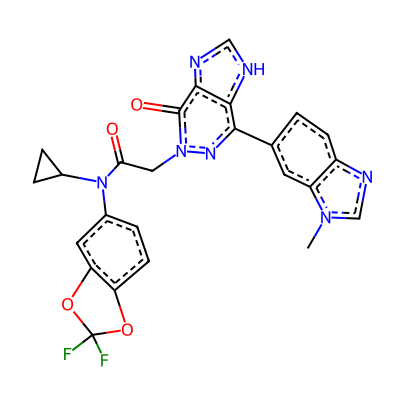 Cn1cnc2ccc(-c3nn(CC(=O)N(c4ccc5c(c4)OC(F)(F)O5)C4CC4)c(=O)c4nc[nH]c34)cc21